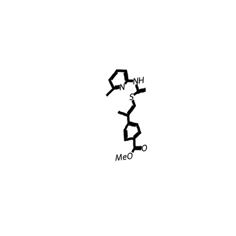 C=C(Nc1cccc(C)n1)S/C=C(\C)c1ccc(C(=O)OC)cc1